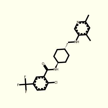 Cc1cc(C)c(NC[C@H]2CC[C@H](NC(=O)c3cc(C(F)(F)F)ccc3Cl)CC2)cn1